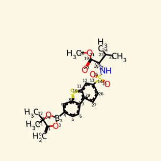 C=C1OB(c2ccc3c(c2)sc2cc(S(=O)(=O)N[C@H](C(=O)OC)C(C)C)ccc23)OC1(C)C